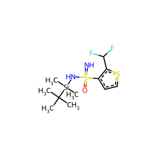 CC(C)(C)[Si](C)(C)NS(=N)(=O)c1ccsc1C(F)F